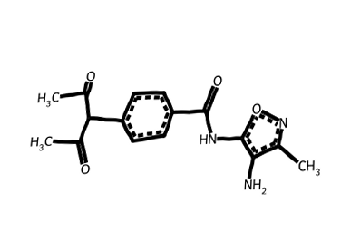 CC(=O)C(C(C)=O)c1ccc(C(=O)Nc2onc(C)c2N)cc1